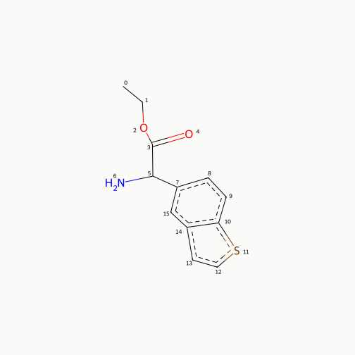 CCOC(=O)C(N)c1ccc2sccc2c1